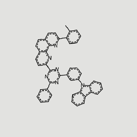 Cc1ccccc1-c1ccc2ccc3ccc(-c4nc(-c5ccccc5)nc(-c5cccc(-n6c7ccccc7c7ccccc76)c5)n4)nc3c2n1